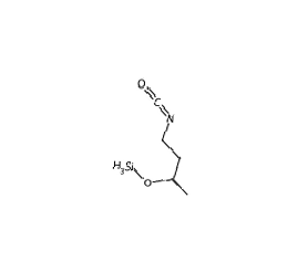 CC(CCN=C=O)O[SiH3]